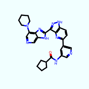 O=C(Nc1cncc(-c2ccc3[nH]nc(-c4nc5c(N6CCCCC6)cncc5[nH]4)c3n2)c1)C1CCCC1